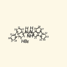 Br.N=C(Nc1ccc2c3c(cccc13)-c1ccccc1-2)Nc1ccc2c3c(cccc13)-c1ccccc1-2